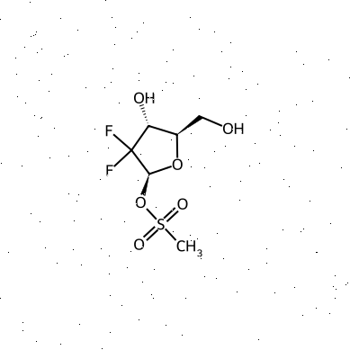 CS(=O)(=O)O[C@@H]1O[C@H](CO)[C@@H](O)C1(F)F